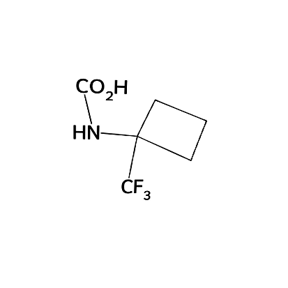 O=C(O)NC1(C(F)(F)F)CCC1